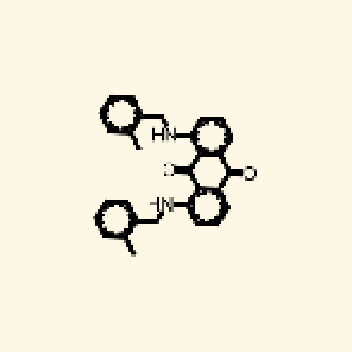 Cc1ccccc1CNc1cccc2c1C(=O)c1c(NCc3ccccc3C)cccc1C2=O